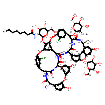 CC(=O)N[C@H]1[C@H](O[C@@H]2c3ccc(c(Cl)c3)Oc3cc4cc(c3O[C@@H]3O[C@H](CO)[C@@H](O)[C@H](O)[C@H]3NC(=O)CCCCCCC(C)C)Oc3ccc(cc3Cl)C[C@H]3NC(=O)[C@@H](N)c5ccc(O)c(c5)Oc5cc(O)cc(c5)[C@H](NC3=O)C(=O)N[C@H]4C(=O)N[C@H]3C(=O)N[C@@H]2C(=O)N[C@@H](C(=O)O)c2cc(O)cc(O[C@H]4O[C@H](CO)[C@@H](O)[C@H](O)[C@@H]4O)c2-c2cc3ccc2O)O[C@H](CO)[C@@H](O)[C@@H]1O